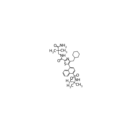 CC(C)(C)NS(=O)(=O)c1ccc(-c2sc(C(=O)NCC(C)(C)C(N)=O)nc2CC2CCCCC2)c2ccccc12